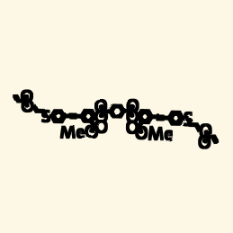 C=CC(=O)OCCCSc1ccc(C#Cc2ccc(OC(=O)C3CCC(C(=O)Oc4ccc(C#Cc5ccc(SCCCOC(=O)C=C)cc5)cc4C(=O)OC)CC3)c(C(=O)OC)c2)cc1